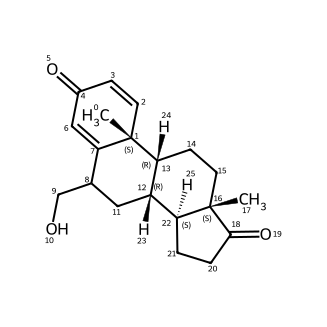 C[C@]12C=CC(=O)C=C1C(CO)C[C@@H]1[C@H]2CC[C@]2(C)C(=O)CC[C@@H]12